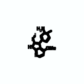 COc1ccnc2[nH]c(SI)c(-c3ccc(C)c(N)c3)c12